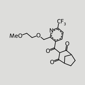 COCCOCc1nc(C(F)(F)F)ccc1C(=O)C1C(=O)C2CCC(C2)C1=O